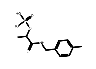 Cc1ccc(CNC(=O)C(C)OP(=O)(O)O)cc1